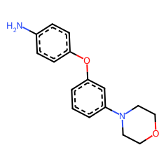 Nc1ccc(Oc2cccc(N3CCOCC3)c2)cc1